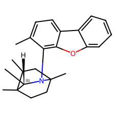 Cc1ccc2c(oc3ccccc32)c1N1[C@@H](C)C2(C)CCC1(C)CC2C